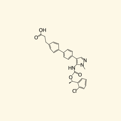 C[C@@H](OC(=O)Nc1c(-c2ccc(-c3ccc(CCC(=O)O)cc3)cc2)cnn1C)c1ccccc1Cl